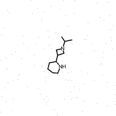 CC(C)N1CC(C2CCCCN2)C1